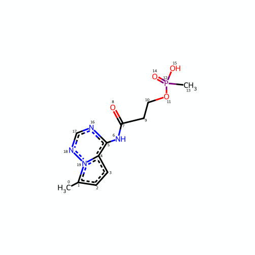 Cc1ccc2c(NC(=O)CCOP(C)(=O)O)ncnn12